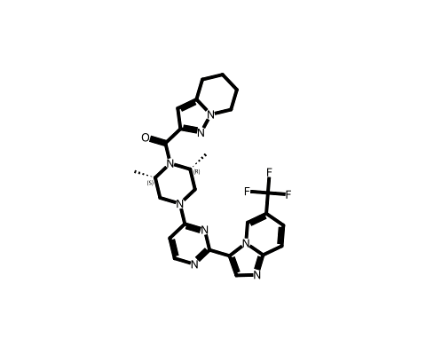 C[C@@H]1CN(c2ccnc(-c3cnc4ccc(C(F)(F)F)cn34)n2)C[C@H](C)N1C(=O)c1cc2n(n1)CCCC2